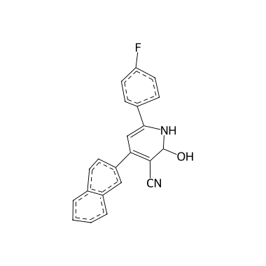 N#CC1=C(c2ccc3ccccc3c2)C=C(c2ccc(F)cc2)NC1O